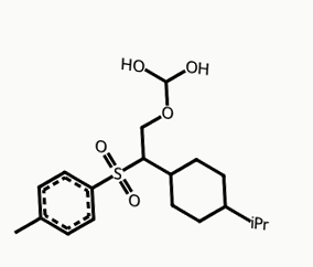 Cc1ccc(S(=O)(=O)C(COC(O)O)C2CCC(C(C)C)CC2)cc1